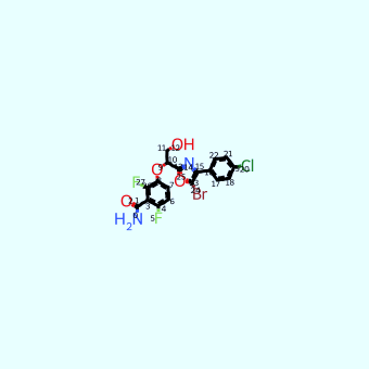 NC(=O)c1c(F)ccc(OC(CO)c2nc(-c3ccc(Cl)cc3)c(Br)o2)c1F